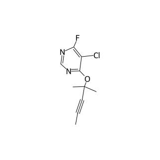 CC#CC(C)(C)Oc1ncnc(F)c1Cl